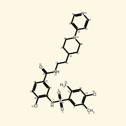 Cc1cc(S(=O)(=O)Nc2cc(C(=O)NCCC3CCN(c4ccncc4)CC3)ccc2Cl)c(C)cc1Cl